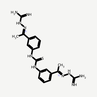 C/C(=N\NC(=N)N)c1cccc(NC(=S)Nc2cccc(/C(C)=N/NC(=N)N)c2)c1